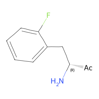 CC(=O)[C@H](N)Cc1ccccc1F